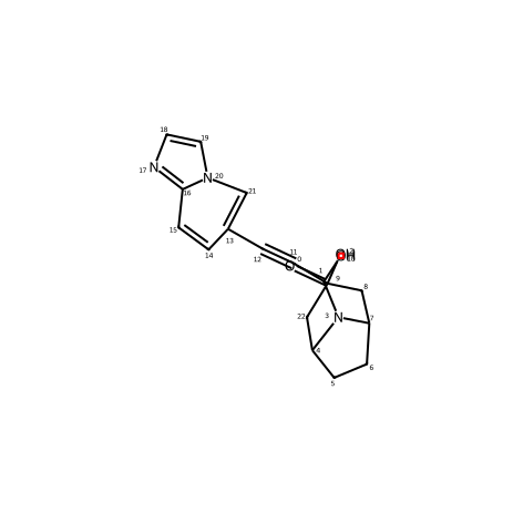 O=C(O)N1C2CCC1CC(O)(C#Cc1ccc3nccn3c1)C2